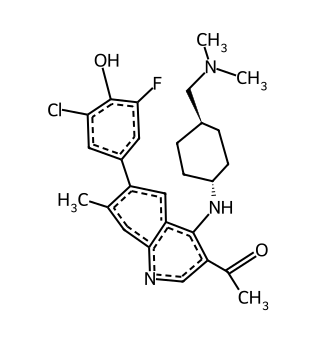 CC(=O)c1cnc2cc(C)c(-c3cc(F)c(O)c(Cl)c3)cc2c1N[C@H]1CC[C@H](CN(C)C)CC1